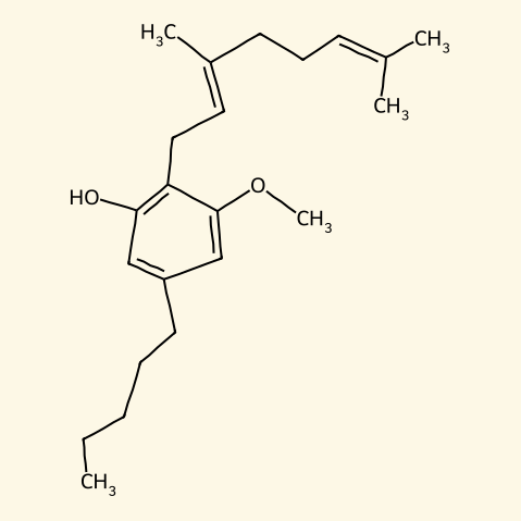 CCCCCc1cc(O)c(C/C=C(\C)CCC=C(C)C)c(OC)c1